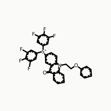 O=c1c2ccccc2n(CCOc2ccccc2)c2ccc([S+](c3cc(F)c(F)c(F)c3)c3cc(F)c(F)c(F)c3)cc12